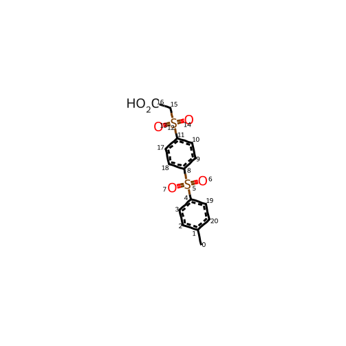 Cc1ccc(S(=O)(=O)c2ccc(S(=O)(=O)CC(=O)O)cc2)cc1